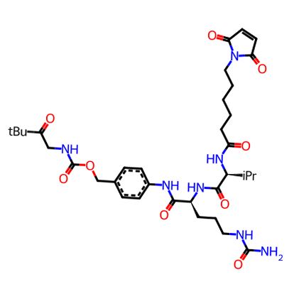 CC(C)[C@H](NC(=O)CCCCCN1C(=O)C=CC1=O)C(=O)N[C@@H](CCCNC(N)=O)C(=O)Nc1ccc(COC(=O)NCC(=O)C(C)(C)C)cc1